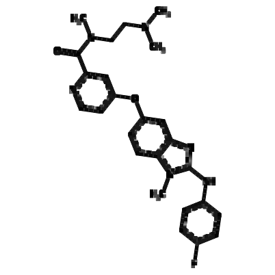 CN(C)CCN(C)C(=O)c1cc(Oc2ccc3c(c2)nc(Nc2ccc(F)cc2)n3C)ccn1